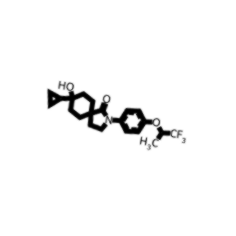 CC(Oc1ccc(N2CCC3(CCC(O)(C4CC4)CC3)C2=O)cc1)C(F)(F)F